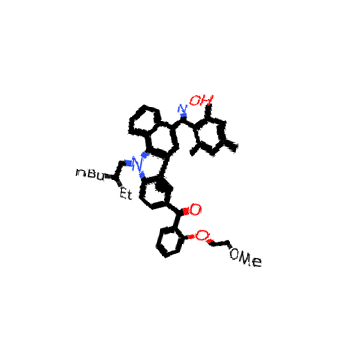 CCCCC(CC)Cn1c2ccc(C(=O)c3ccccc3OCCOC)cc2c2cc(/C(=N/O)c3c(C)cc(C)cc3C)c3ccccc3c21